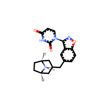 CN1[C@@H]2CC[C@H]1CC(Cc1ccc3onc(-n4ccc(=O)[nH]c4=O)c3c1)C2